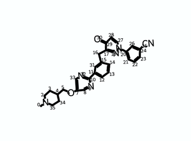 CN1CCC(COc2cnc(-c3cccc(Cc4nn(-c5cccc(C#N)c5)ccc4=O)c3)nc2)CC1